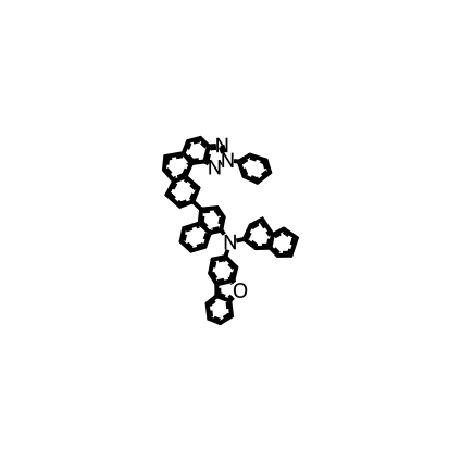 c1ccc(-n2nc3ccc4ccc5ccc(-c6ccc(N(c7ccc8ccccc8c7)c7ccc8c(c7)oc7ccccc78)c7ccccc67)cc5c4c3n2)cc1